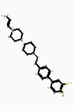 CC=C[SiH]1CCC([C@H]2CC[C@H](CCc3ccc(-c4ccc(F)c(F)c4)cc3)CC2)CC1